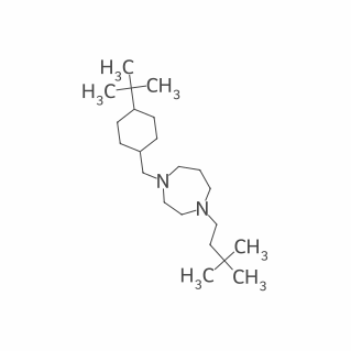 CC(C)(C)CCN1CCCN(CC2CCC(C(C)(C)C)CC2)CC1